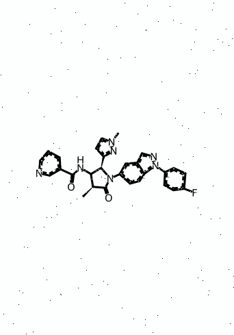 C[C@@H]1C(=O)N(c2ccc3c(cnn3-c3ccc(F)cc3)c2)[C@H](c2ccn(C)n2)C1NC(=O)c1cccnc1